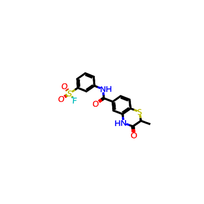 CC1Sc2ccc(C(=O)Nc3cccc(S(=O)(=O)F)c3)cc2NC1=O